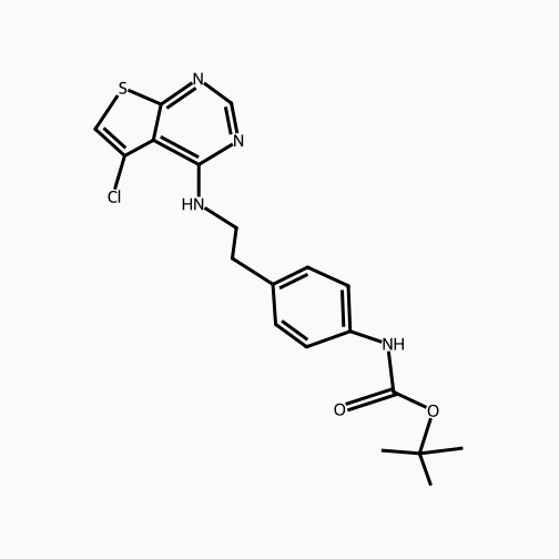 CC(C)(C)OC(=O)Nc1ccc(CCNc2ncnc3scc(Cl)c23)cc1